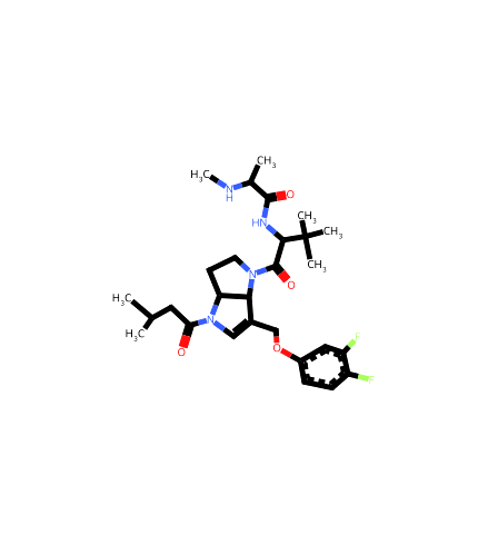 CNC(C)C(=O)NC(C(=O)N1CCC2C1C(COc1ccc(F)c(F)c1)=CN2C(=O)CC(C)C)C(C)(C)C